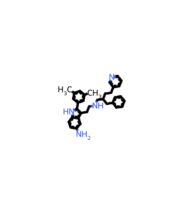 Cc1cc(C)cc(-c2[nH]c3ccc(N)cc3c2CCNCC(CCc2cccnc2)Cc2ccccc2)c1